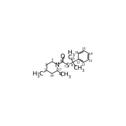 CC1CCN(C(=O)SC(C)(C)c2ccccc2)C(C)C1